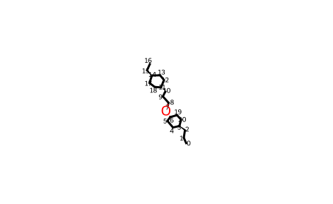 CCC[C@H]1CC[C@H](OCCC[C@H]2CC[C@H](CC)CC2)CC1